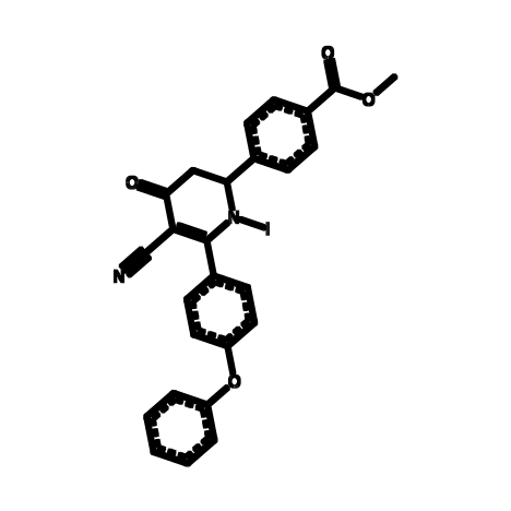 COC(=O)c1ccc(C2CC(=O)C(C#N)=C(c3ccc(Oc4ccccc4)cc3)N2I)cc1